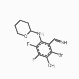 N=Cc1c(Br)c(O)c(F)c(F)c1NC1CCCCO1